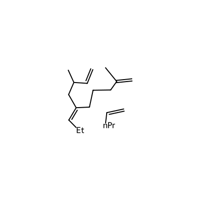 C=CC(C)CC(=CCC)CCCC(=C)C.C=CCCC